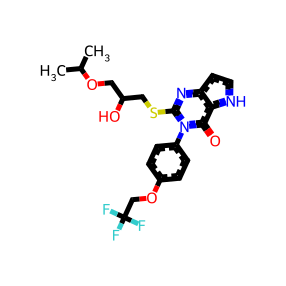 CC(C)OCC(O)CSc1nc2cc[nH]c2c(=O)n1-c1ccc(OCC(F)(F)F)cc1